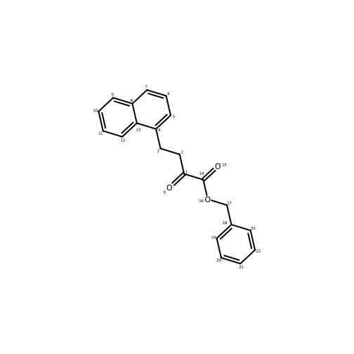 O=C(CCc1cccc2ccccc12)C(=O)OCc1ccccc1